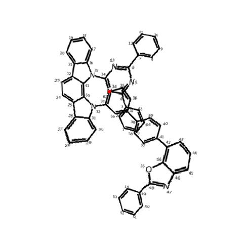 c1ccc(-c2nc(-c3ccccc3)nc(-n3c4ccccc4c4ccc5c6ccccc6n(-c6cccc(-c7ccc(-c8cccc9nc(-c%10ccccc%10)oc89)cc7)c6)c5c43)n2)cc1